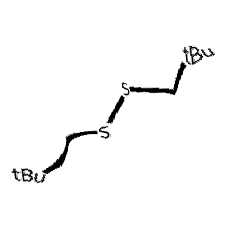 CC(C)(C)CSSCC(C)(C)C